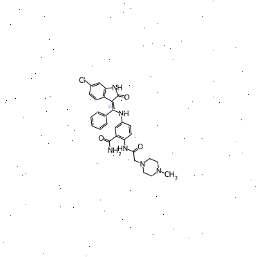 CN1CCN(CC(=O)Nc2ccc(N/C(=C3\C(=O)Nc4cc(Cl)ccc43)c3ccccc3)cc2C(N)=O)CC1